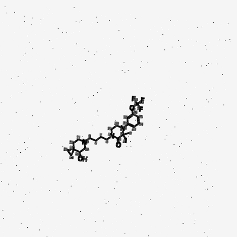 CC1(I)C(=O)N(CCCCN2CCC3(CC3)C(O)C2)CCN1c1cccc(OC(F)(F)F)c1